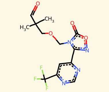 CC(C)(C=O)COCn1c(-c2cc(C(F)(F)F)ncn2)noc1=O